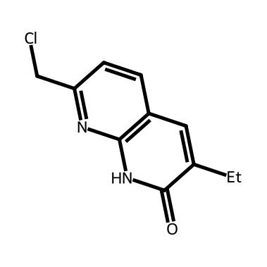 CCc1cc2ccc(CCl)nc2[nH]c1=O